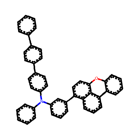 c1ccc(-c2ccc(-c3ccc(N(c4ccccc4)c4cccc(-c5ccc6c7c(cccc57)-c5ccccc5O6)c4)cc3)cc2)cc1